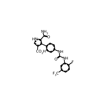 NC(=O)c1[nH]cc(C(=O)O)c1-c1ccc(NC(=O)Nc2cc(C(F)(F)F)ccc2F)cc1